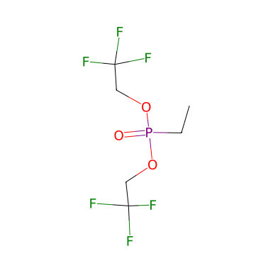 CCP(=O)(OCC(F)(F)F)OCC(F)(F)F